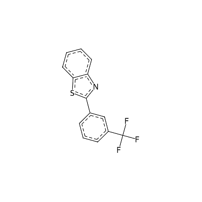 FC(F)(F)c1cccc(-c2nc3ccccc3s2)c1